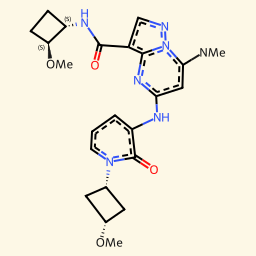 CNc1cc(Nc2cccn([C@H]3C[C@@H](OC)C3)c2=O)nc2c(C(=O)N[C@H]3CC[C@@H]3OC)cnn12